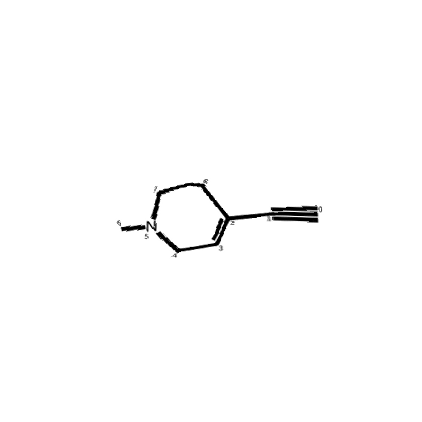 C#CC1=CCN(C)CC1